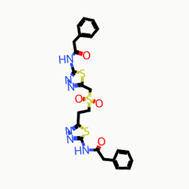 O=C(Cc1ccccc1)Nc1nnc(CCS(=O)(=O)Cc2nnc(NC(=O)Cc3ccccc3)s2)s1